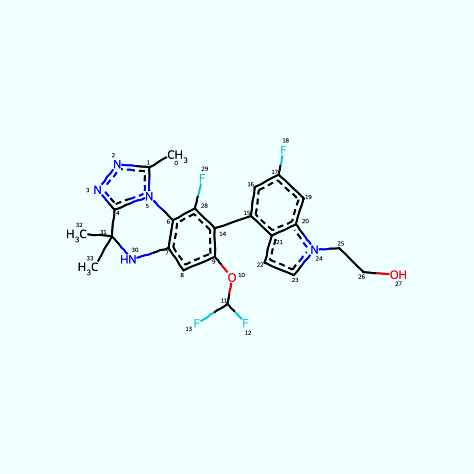 Cc1nnc2n1-c1c(cc(OC(F)F)c(-c3cc(F)cc4c3ccn4CCO)c1F)NC2(C)C